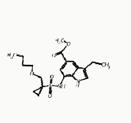 CCCCOCC1(S(=O)(=O)Nc2cc(C(=O)OC)cc3c(CC)c[nH]c23)CC1